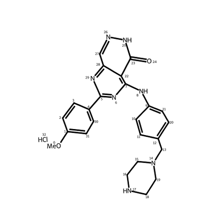 COc1ccc(-c2nc(Nc3ccc(CN4CCNCC4)cc3)c3c(=O)[nH]ncc3n2)cc1.Cl